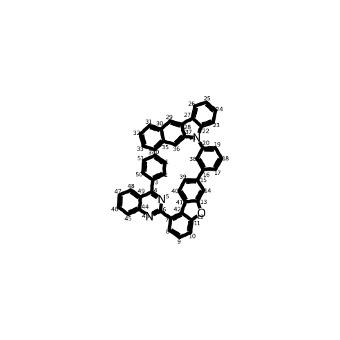 c1ccc(-c2nc(-c3cccc4oc5cc(-c6cccc(-n7c8ccccc8c8cc9ccccc9cc87)c6)ccc5c34)nc3ccccc23)cc1